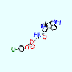 CN1C[C@H](C(=O)NCCCOC(=O)COc2ccc(Cl)cc2)C=C2c3cccc4[nH]cc(c34)C[C@H]21